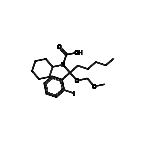 CCCCCC(OCOC)(c1ccccc1I)N(C(=O)O)C1CCCCC1